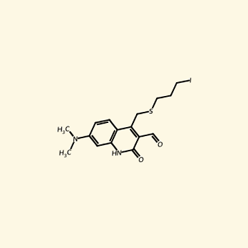 CN(C)c1ccc2c(CSCCCI)c(C=O)c(=O)[nH]c2c1